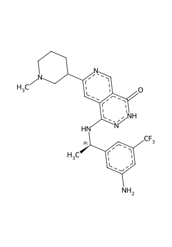 C[C@@H](Nc1n[nH]c(=O)c2cnc(C3CCCN(C)C3)cc12)c1cc(N)cc(C(F)(F)F)c1